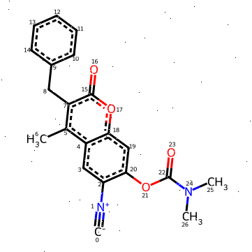 [C-]#[N+]c1cc2c(C)c(Cc3ccccc3)c(=O)oc2cc1OC(=O)N(C)C